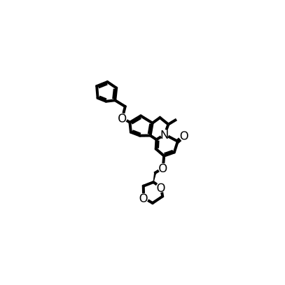 CC1Cc2cc(OCc3ccccc3)ccc2-c2cc(OC[C@@H]3COCCO3)cc(=O)n21